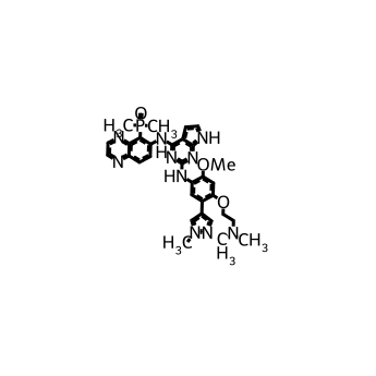 COc1cc(OCCN(C)C)c(-c2cnn(C)c2)cc1Nc1nc(Nc2ccc3nccnc3c2P(C)(C)=O)c2cc[nH]c2n1